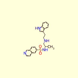 CC(CNCCc1c[nH]c2ccccc12)NS(=O)(=O)c1ccc2cnccc2c1